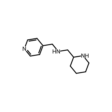 c1cc(CNCC2CCCCN2)ccn1